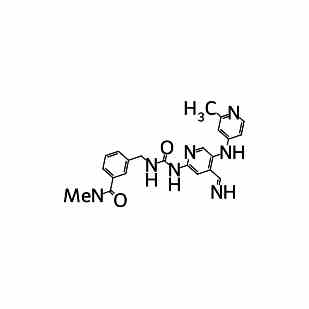 CNC(=O)c1cccc(CNC(=O)Nc2cc(C=N)c(Nc3ccnc(C)c3)cn2)c1